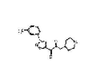 O=C(CC1CCNCC1)C(=O)c1cnn(-c2cccc(C(F)(F)F)c2)c1